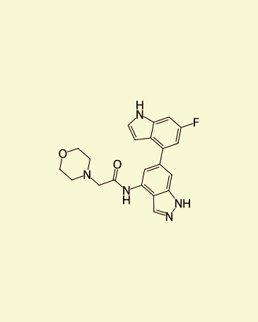 O=C(CN1CCOCC1)Nc1cc(-c2cc(F)cc3[nH]ccc23)cc2[nH]ncc12